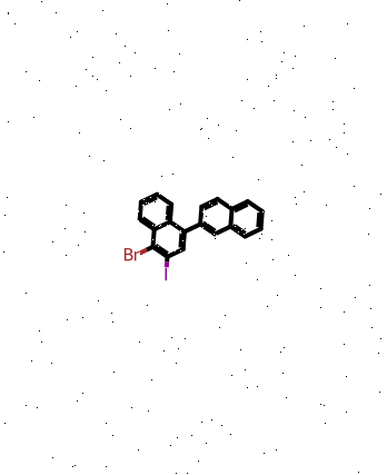 Brc1c(I)cc(-c2ccc3ccccc3c2)c2ccccc12